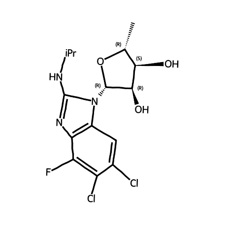 CC(C)Nc1nc2c(F)c(Cl)c(Cl)cc2n1[C@@H]1O[C@H](C)[C@@H](O)[C@H]1O